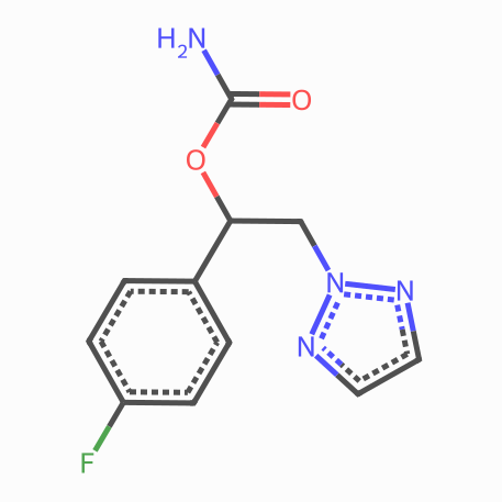 NC(=O)OC(Cn1nccn1)c1ccc(F)cc1